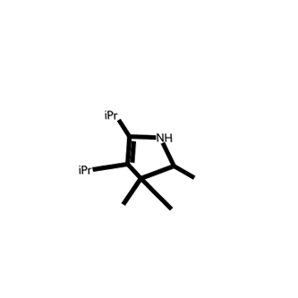 CC(C)C1=C(C(C)C)C(C)(C)C(C)N1